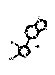 Br.CCCCc1ncc(-c2ncc3[nH]cnc3n2)n1CC